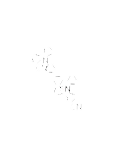 N#Cc1ccc2c(c1)c1ccccc1n2-c1ccccc1-c1cc(-c2ccc(-n3c4ccccc4c4cccc(C#N)c43)cc2)ccc1C#N